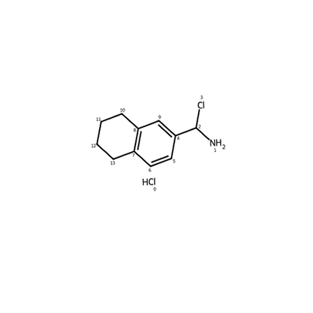 Cl.NC(Cl)c1ccc2c(c1)CCCC2